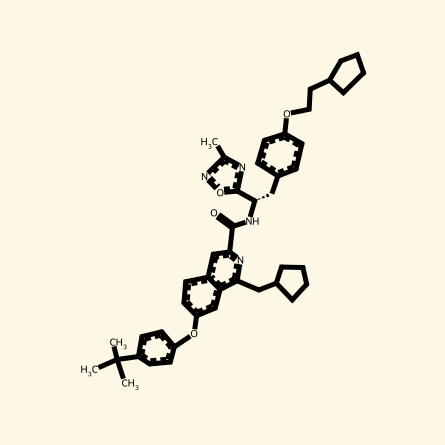 Cc1noc([C@H](Cc2ccc(OCCC3CCCC3)cc2)NC(=O)c2cc3ccc(Oc4ccc(C(C)(C)C)cc4)cc3c(CC3CCCC3)n2)n1